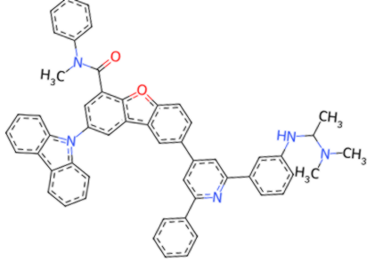 CC(Nc1cccc(-c2cc(-c3ccc4oc5c(C(=O)N(C)c6ccccc6)cc(-n6c7ccccc7c7ccccc76)cc5c4c3)cc(-c3ccccc3)n2)c1)N(C)C